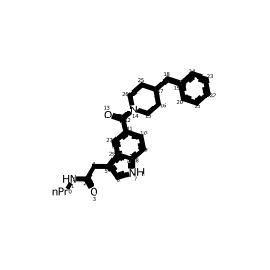 CCCNC(=O)Cc1c[nH]c2ccc(C(=O)N3CCC(Cc4ccccc4)CC3)cc12